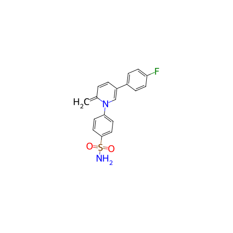 C=C1C=CC(c2ccc(F)cc2)=CN1c1ccc(S(N)(=O)=O)cc1